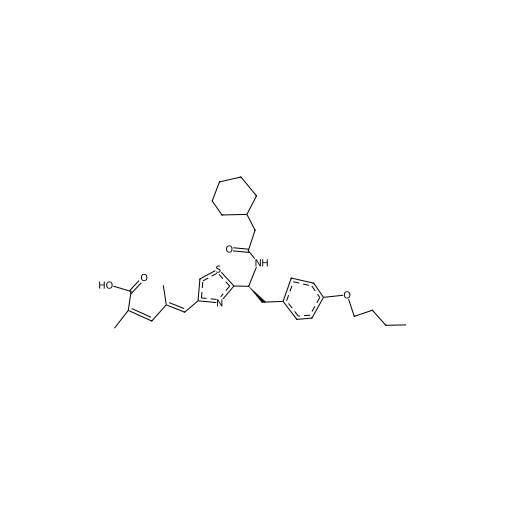 CCCCOc1ccc(C[C@H](NC(=O)CC2CCCCC2)c2nc(/C=C(C)/C=C(/C)C(=O)O)cs2)cc1